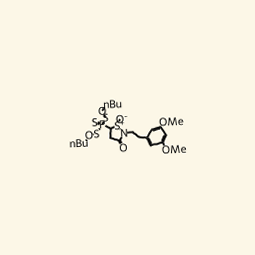 CCCCOSP(=S)(SOCCCC)C1CC(=O)N(CCc2cc(OC)cc(OC)c2)[S+]1[O-]